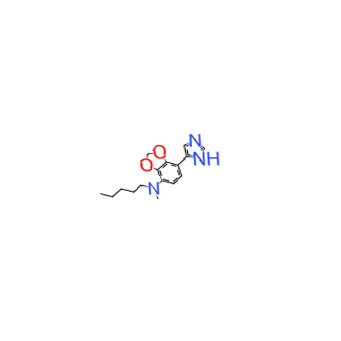 CCCCCN(C)c1ccc(-c2cnc[nH]2)c2c1OCO2